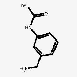 CCCC(=O)Nc1cccc(CN)c1